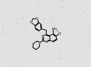 Nc1c(Cl)ccc2nc(N3CCCCC3)nc(Cc3ccc4c(c3)OCO4)c12